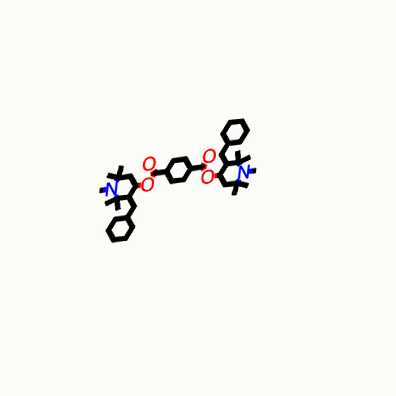 CN1C(C)(C)CC(OC(=O)C2CCC(C(=O)OC3CC(C)(C)N(C)C(C)(C)C3CC3CCCCC3)CC2)C(CC2CCCCC2)C1(C)C